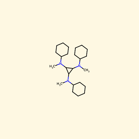 CN(C1CCCCC1)C1C(N(C)C2CCCCC2)C1N(C)C1CCCCC1